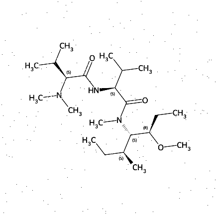 CC[C@H](C)[C@@H]([C@@H](CC)OC)N(C)C(=O)[C@@H](NC(=O)[C@H](C(C)C)N(C)C)C(C)C